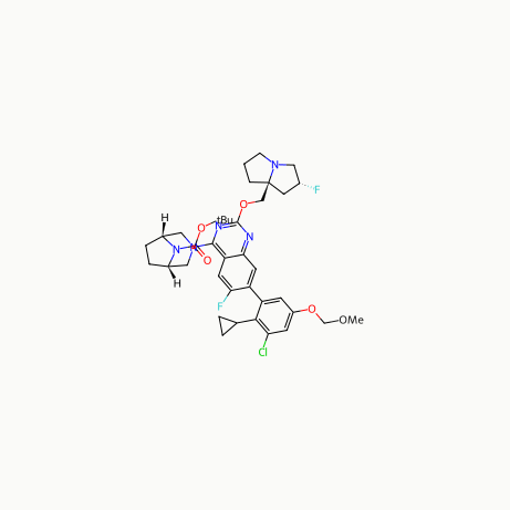 COCOc1cc(Cl)c(C2CC2)c(-c2cc3nc(OC[C@@]45CCCN4C[C@H](F)C5)nc(N4C[C@H]5CC[C@@H](C4)N5C(=O)OC(C)(C)C)c3cc2F)c1